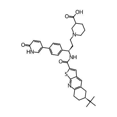 CC(C)(C)[C@H]1CCc2nc3sc(C(=O)N[C@H](CCN4CCCC(C(=O)O)C4)c4ccc(-c5ccc(=O)[nH]c5)cc4)cc3cc2C1